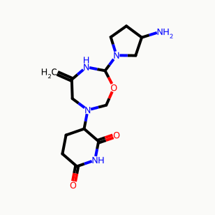 C=C1CN(C2CCC(=O)NC2=O)COC(N2CCC(N)C2)N1